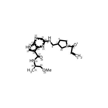 C=CC(=O)N1CCC(CNc2cnc3[nH]cc(C(=O)N[C@H](C)COC)c3n2)C1